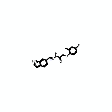 Cc1cc(F)ccc1OCC(=O)N/N=C/c1ccc2cc[nH]c2c1